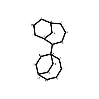 C1CCC2(C3CCCC4CCC[C]3C4)CCC(C1)CC2